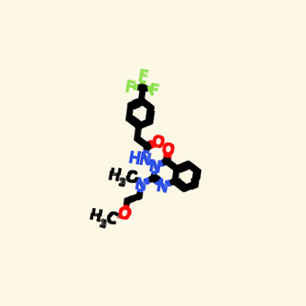 COCCN(C)c1nc2ccccc2c(=O)n1NC(=O)Cc1ccc(C(F)(F)F)cc1